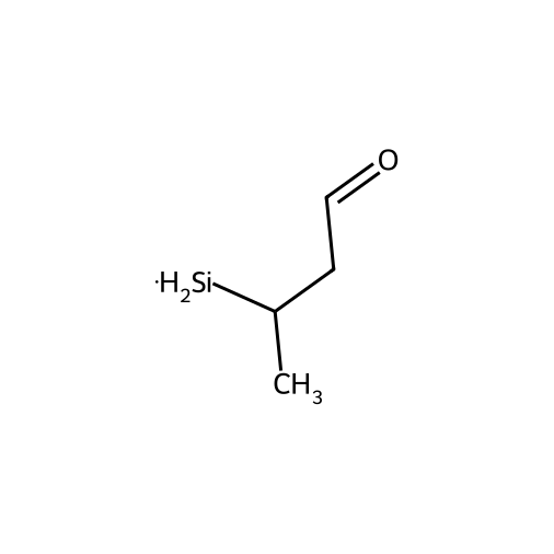 CC([SiH2])CC=O